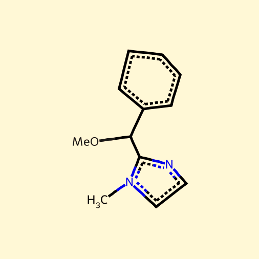 COC(c1ccccc1)c1nccn1C